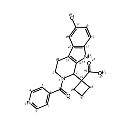 O=C(c1ccncc1)N1CCc2c([nH]c3ccc(Cl)cc23)C1C1(C(=O)O)CCC1